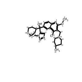 COc1nc2ccc(C(O)(c3cnnn3C)C3CCOCC3)cc2c(Cl)c1CN1CCC(C)CC1